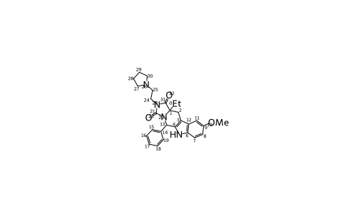 CCC12Cc3c([nH]c4ccc(OC)cc34)C(c3ccccc3)N1C(=O)N(CCN1CCCC1)C2=O